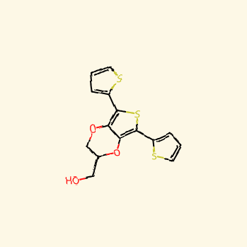 OCC1COc2c(-c3cccs3)sc(-c3cccs3)c2O1